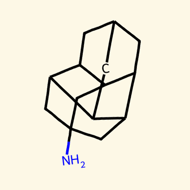 NC12CC3C4CC5CC3C(C1)C(C5)C4C2